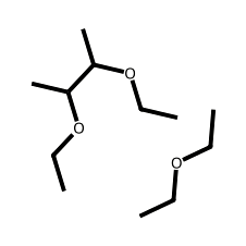 CCOC(C)C(C)OCC.CCOCC